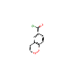 O=C(Cl)c1ccc2c(c1)CCOO2